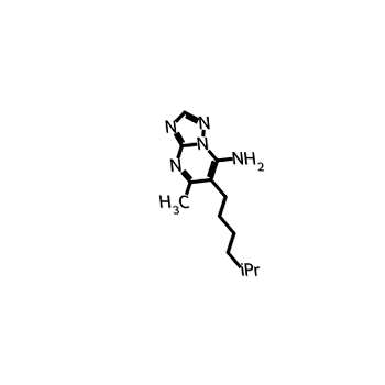 Cc1nc2ncnn2c(N)c1CCCCC(C)C